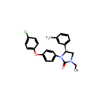 N#CCN1C[C@H](c2cccc(C(F)(F)F)c2)N(c2ccc(Oc3ccc(Cl)cc3)cc2)C1=O